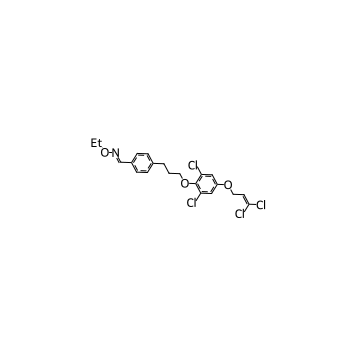 CCON=Cc1ccc(CCCOc2c(Cl)cc(OCC=C(Cl)Cl)cc2Cl)cc1